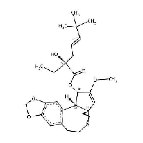 CC[C@](O)(C/C=C/C(C)(C)C)C(=O)O[C@@H]1C(OC)=C[C@]23CCCN2CCc2cc4c(cc2[C@H]13)OCO4